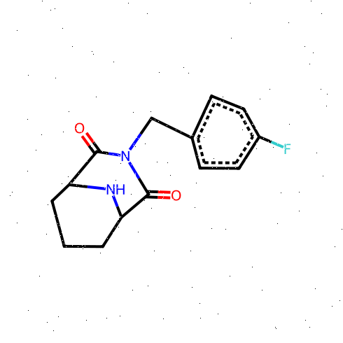 O=C1C2CCCC(N2)C(=O)N1Cc1ccc(F)cc1